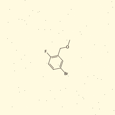 COCc1cc(Br)ccc1F